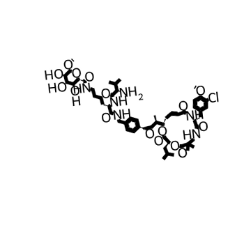 COc1ccc(C[C@H]2NC(=O)/C=C/C[C@@H]([C@H](C)[C@H]3O[C@@H]3c3ccc(CNC(=O)[C@H](CCCCNC(=O)[C@H]4O[C@@H](OC)[C@H](O)[C@@H](O)[C@@H]4O)NC(=O)[C@@H](N)C(C)C)cc3)OC(=O)[C@H](CC(C)C)OC(=O)C(C)(C)CNC2=O)cc1Cl